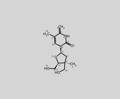 C=C1NC(=O)N([C@H]2C[C@@](C)(CO)[C@@H](CO)O2)C=C1C